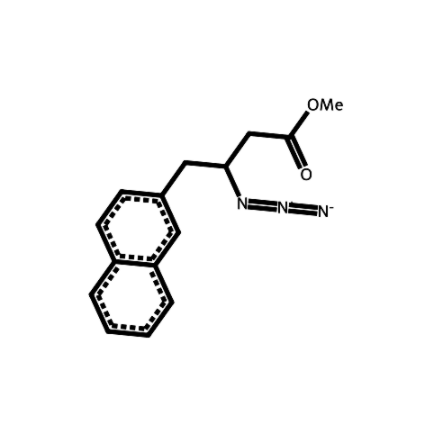 COC(=O)CC(Cc1ccc2ccccc2c1)N=[N+]=[N-]